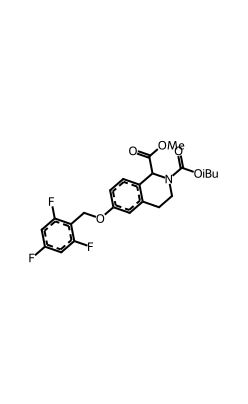 COC(=O)C1c2ccc(OCc3c(F)cc(F)cc3F)cc2CCN1C(=O)OCC(C)C